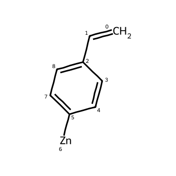 C=Cc1cc[c]([Zn])cc1